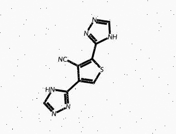 N#Cc1c(-c2nnc[nH]2)csc1-c1nnc[nH]1